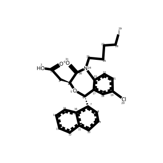 O=C(O)C[C@@H]1O[C@@H](c2cccc3ccccc23)c2cc(Cl)ccc2N(CCCCI)C1=O